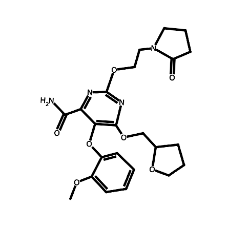 COc1ccccc1Oc1c(OCC2CCCO2)nc(OCCN2CCCC2=O)nc1C(N)=O